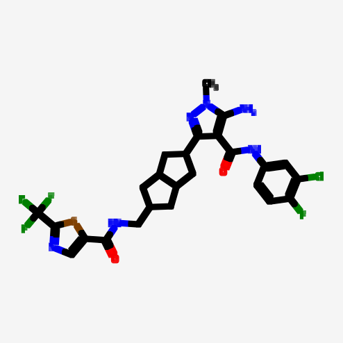 Cn1nc(C2CC3CC(CNC(=O)c4cnc(C(F)(F)F)s4)CC3C2)c(C(=O)Nc2ccc(F)c(Cl)c2)c1N